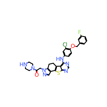 O=C(Cn1ncc2c1CCc1c-2sc2ncnc(Nc3ccc(OCc4cccc(F)c4)c(Cl)c3)c12)N1CCNCC1